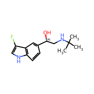 CC(C)(C)NC[C@H](O)c1ccc2[nH]cc(F)c2c1